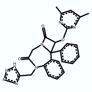 Cc1cc(C)nc(OC2C(=O)N3CC(=O)N(Cc4nnn[nH]4)c4ccccc4C23c2ccccc2)n1